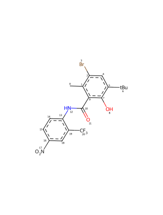 Cc1c(Br)cc(C(C)(C)C)c(O)c1C(=O)Nc1ccc([N+](=O)[O-])cc1C(F)(F)F